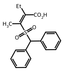 CCC(C(=O)O)=C(C)S(=O)(=O)C(c1ccccc1)c1ccccc1